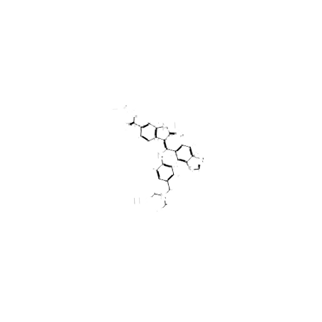 CCN(CC)Cc1ccc(NC(=C2C(=O)Nc3cc(C(=O)OC)ccc32)c2ccc3ncsc3c2)cc1